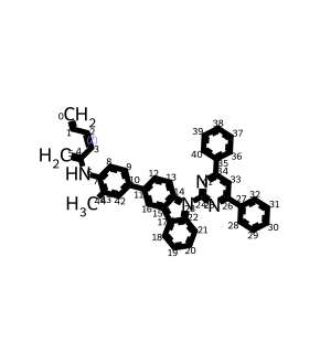 C=C/C=C\C(=C)Nc1ccc(-c2ccc3c(c2)c2ccccc2n3-c2nc(-c3ccccc3)cc(-c3ccccc3)n2)cc1C